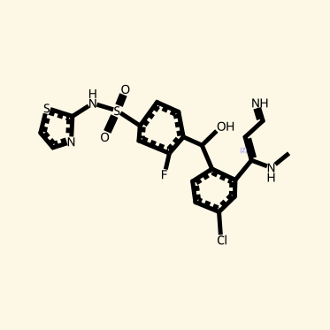 CN/C(=C\C=N)c1cc(Cl)ccc1C(O)c1ccc(S(=O)(=O)Nc2nccs2)cc1F